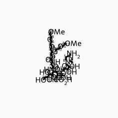 C=C1N=C(N)C=CN1[C@@H]1OC(COP(=O)(O)O[C@@]2(C(=O)O)C[C@@H](O)[C@@H](NC(=O)CNC(=O)OCC(COCCOCCOC)OCCOCCOC)C([C@H](O)[C@H](O)CO)O2)[C@@H](O)[C@H]1O